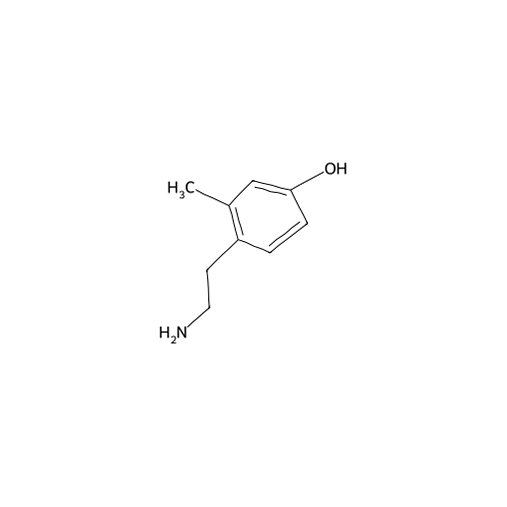 Cc1cc(O)ccc1CCN